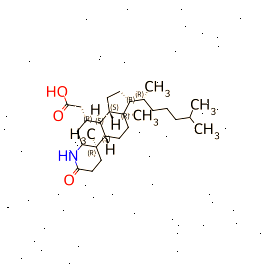 CC(C)CCC[C@@H](C)[C@H]1CC[C@H]2[C@@H]3[C@@H](CC(=O)O)CC4NC(=O)CC[C@]4(C)[C@H]3CC[C@]12C